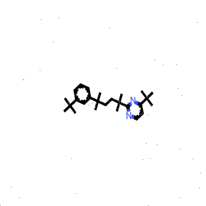 CC(C)(C)c1cccc(C(C)(C)CCC(C)(C)c2nccc(C(C)(C)C)n2)c1